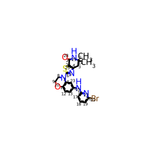 CC1(C)Cc2nc(N3CCOc4ccc(Nc5cccc(Br)n5)cc43)sc2C(=O)N1